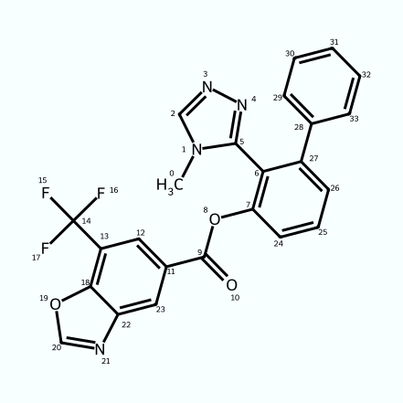 Cn1cnnc1-c1c(OC(=O)c2cc(C(F)(F)F)c3ocnc3c2)cccc1-c1ccccc1